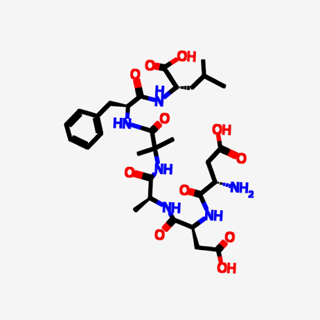 CC(C)C[C@H](NC(=O)[C@H](Cc1ccccc1)NC(=O)C(C)(C)NC(=O)[C@H](C)NC(=O)[C@H](CC(=O)O)NC(=O)[C@@H](N)CC(=O)O)C(=O)O